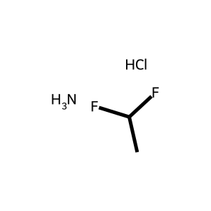 CC(F)F.Cl.N